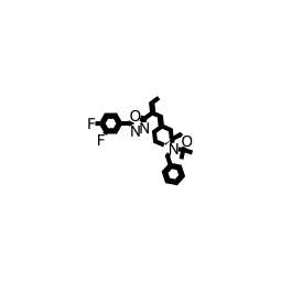 C/C=C(\C=C1/CCC[C@@]2(COC(C)(C)N2Cc2ccccc2)C1)c1nnc(-c2ccc(F)c(F)c2)o1